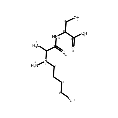 CCCCCN(N)C(C)C(=O)NC(CO)C(=O)O